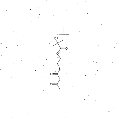 CPC(C)(CC(C)(C)C)C(=O)OCCOC(=O)CC(C)=O